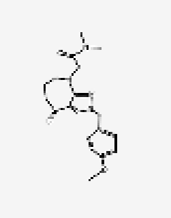 COc1ccc(Cn2cc3c(n2)N(CC(=O)N(C)C)CCCC3=O)cc1